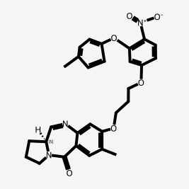 Cc1ccc(Oc2cc(OCCCOc3cc4c(cc3C)C(=O)N3CCC[C@H]3C=N4)ccc2[N+](=O)[O-])cc1